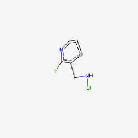 Fc1ncccc1CNCl